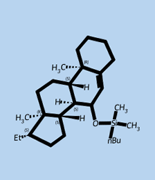 CCCC[Si](C)(C)OC1C=C2CCCC[C@]2(C)[C@H]2CC[C@]3(C)[C@@H](CC)CC[C@H]3[C@H]12